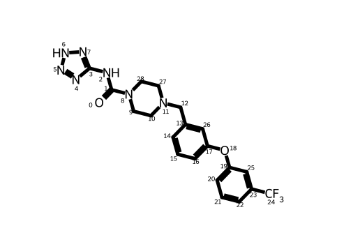 O=C(Nc1nn[nH]n1)N1CCN(Cc2cccc(Oc3cccc(C(F)(F)F)c3)c2)CC1